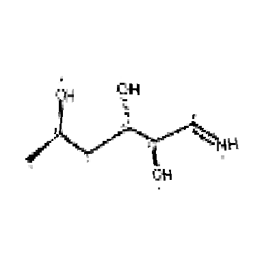 C[C@@H](O)C[C@H](O)[C@H](O)C=N